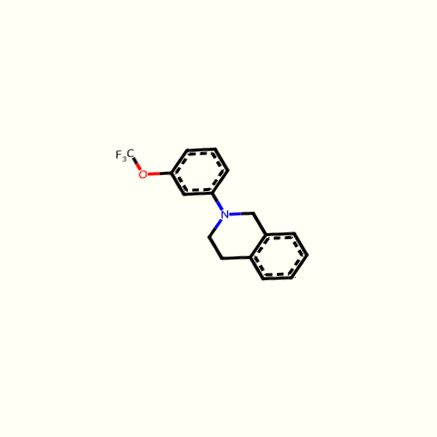 FC(F)(F)Oc1cccc(N2CCc3c[c]ccc3C2)c1